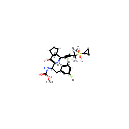 CC(C)(C)OC(=O)NC(Cc1cc(F)cc(F)c1)c1nc(C#CC(C)(C)S(=O)(=O)C2CC2)c2c(c1Br)CCC2